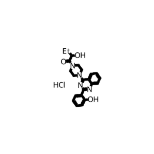 CCC(O)C(=O)N1CCN(c2nc(-c3ccccc3O)nc3ccccc23)CC1.Cl